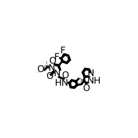 COC[C@H](C)n1c(=O)c(-c2cccc(F)c2F)cn(CC(=O)Nc2ccc3c(c2)C[C@@]2(C3)C(=O)Nc3ncccc32)c1=O